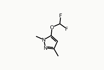 Cc1cc(OC(F)F)n(C)n1